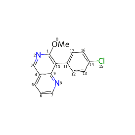 COc1ncc2cccnc2c1-c1ccc(Cl)cc1